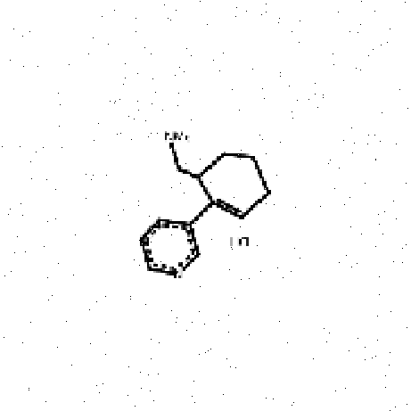 CNCC1CCCC=C1c1cccnc1.Cl